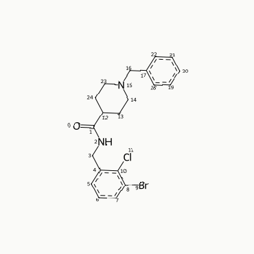 O=C(NCc1cccc(Br)c1Cl)C1CCN(Cc2ccccc2)CC1